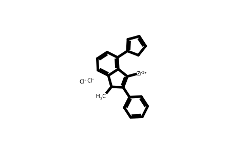 CC1C(c2ccccc2)=[C]([Zr+2])c2c(C3=CC=CC3)cccc21.[Cl-].[Cl-]